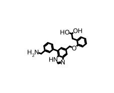 NCc1cccc(-c2cc(COc3ccccc3CC(O)O)cc3nc[nH]c23)c1